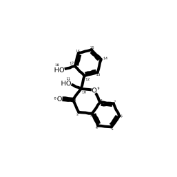 O=C1Cc2ccccc2OC1(O)c1ccccc1O